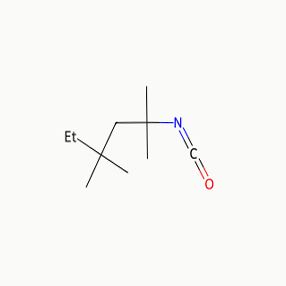 CCC(C)(C)CC(C)(C)N=C=O